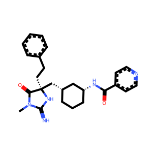 CN1C(=N)N[C@](CCc2ccccc2)(C[C@H]2CCC[C@@H](NC(=O)c3ccncc3)C2)C1=O